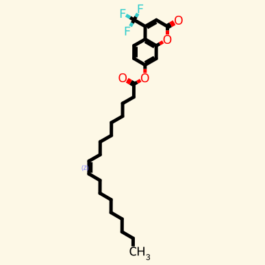 CCCCCCCC/C=C\CCCCCCCC(=O)Oc1ccc2c(C(F)(F)F)cc(=O)oc2c1